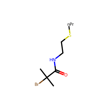 CCCSCCNC(=O)C(C)(C)Br